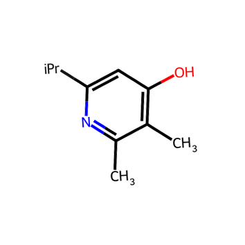 Cc1nc(C(C)C)cc(O)c1C